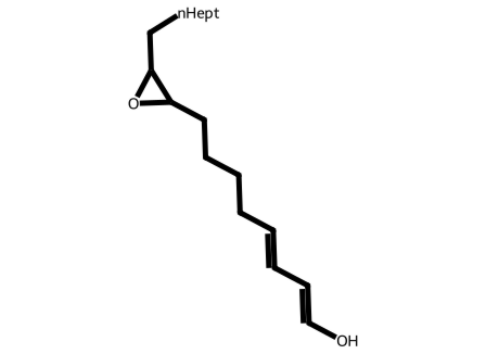 CCCCCCCCC1OC1CCCCC=CC=CO